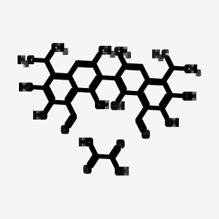 Cc1cc2c(C(C)C)c(O)c(O)c(C=O)c2c(O)c1-c1c(C)cc2c(C(C)C)c(O)c(O)c(C=O)c2c1O.O=C(O)C(=O)O